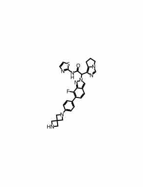 O=C(Nc1nccs1)C(c1ncn2c1CCC2)n1cc2ccc(-c3ccc(N4CC5(CNC5)C4)cc3)c(F)c2n1